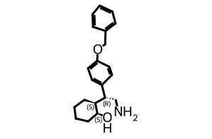 NC[C@@H](c1ccc(OCc2ccccc2)cc1)[C@@H]1CCCC[C@@H]1O